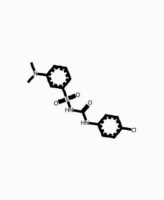 CN(C)c1cccc(S(=O)(=O)NC(=O)Nc2ccc(Cl)cc2)c1